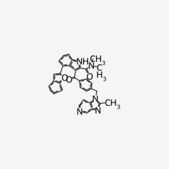 Cc1nc2cnccc2n1Cc1ccc(C(=O)c2c(C(=O)N(C)C)[nH]c3cccc(-c4cc5ccccc5o4)c23)cc1